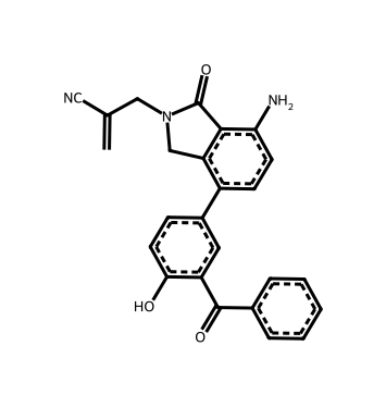 C=C(C#N)CN1Cc2c(-c3ccc(O)c(C(=O)c4ccccc4)c3)ccc(N)c2C1=O